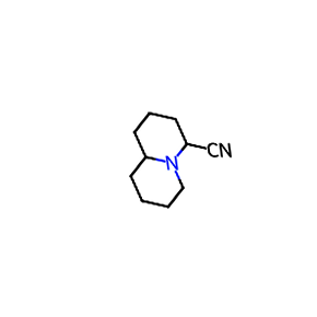 N#CC1CCCC2CCCCN12